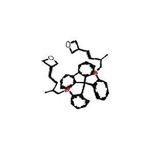 CC(CCC1COC1)COc1ccccc1C1(c2ccccc2OCC(C)CCC2COC2)c2ccccc2-c2ccccc21